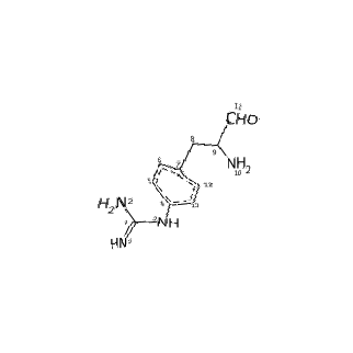 N=C(N)Nc1ccc(CC(N)[C]=O)cc1